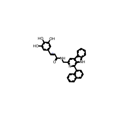 O=C(/C=C/c1cc(O)c(O)c(O)c1)NCc1cc2c([nH]c3ccccc32)c(-c2cccc3ccccc23)n1